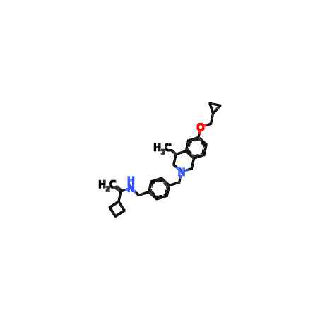 C=C(NCc1ccc(CN2Cc3ccc(OCC4CC4)cc3C(C)C2)cc1)C1CCC1